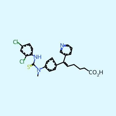 CN(C(=S)Nc1ccc(Cl)cc1Cl)c1ccc(/C(=C/CCCC(=O)O)c2cccnc2)cc1